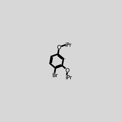 CC(C)Oc1[c]c(OC(C)C)c(Br)cc1